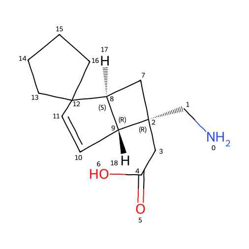 NC[C@@]1(CC(=O)O)C[C@H]2[C@H]1C=CC21CCCC1